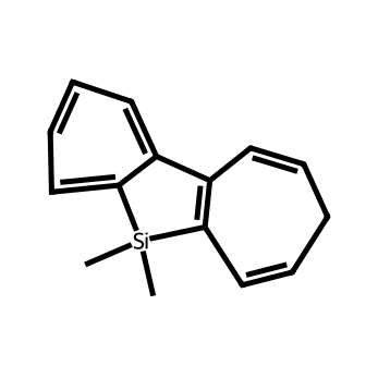 C[Si]1(C)C2=C(C=CCC=C2)c2ccccc21